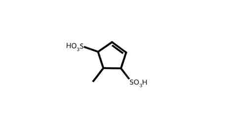 CC1C(S(=O)(=O)O)C=CC1S(=O)(=O)O